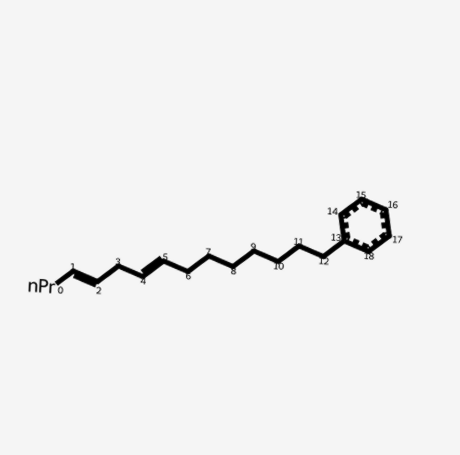 CCCC=CCC=CCCCCCCCc1c[c]ccc1